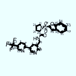 O=C(NCc1cc(-c2ccc(C(F)(F)F)cn2)cnn1)[C@@H]1CCCN1S(=O)(=O)c1cc2ccccc2o1